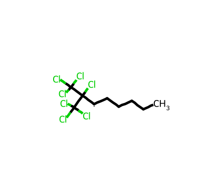 CCCCC[CH]C(Cl)(C(Cl)(Cl)Cl)C(Cl)(Cl)Cl